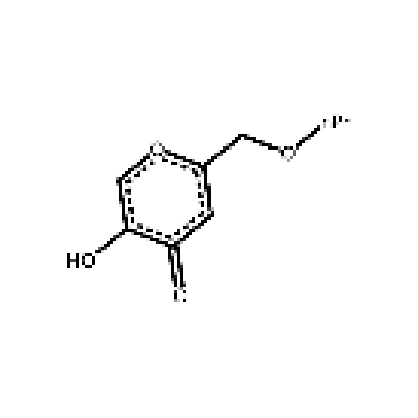 CCCOCc1cc(=O)c(O)co1